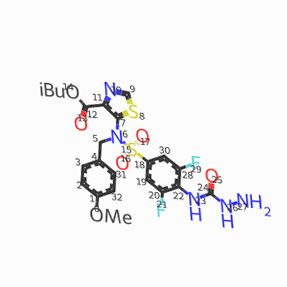 COc1ccc(CN(c2scnc2C(=O)OCC(C)C)S(=O)(=O)c2cc(F)c(NC(=O)NN)c(F)c2)cc1